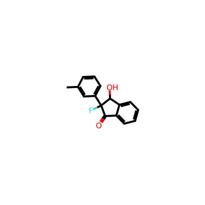 Cc1cccc(C2(F)C(=O)c3ccccc3C2O)c1